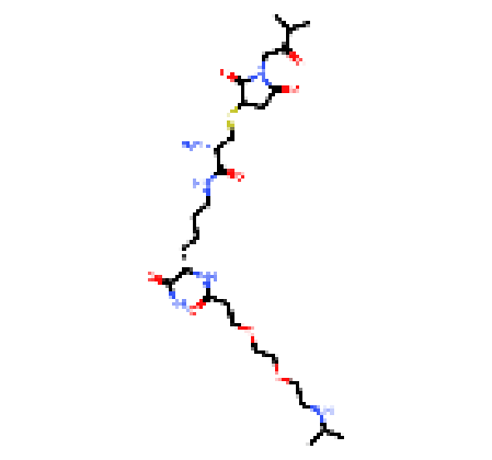 CC(C)NCCOCCOCCC(=O)N[C@@H](CCCCNC(=O)[C@H](N)CSC1CC(=O)N(CC(=O)C(C)C)C1=O)C(N)=O